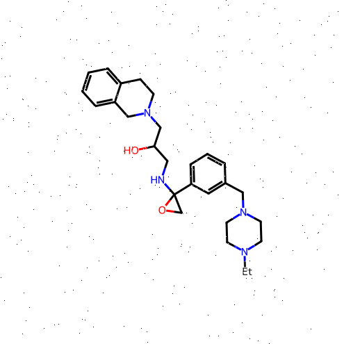 CCN1CCN(Cc2cccc(C3(NCC(O)CN4CCc5ccccc5C4)CO3)c2)CC1